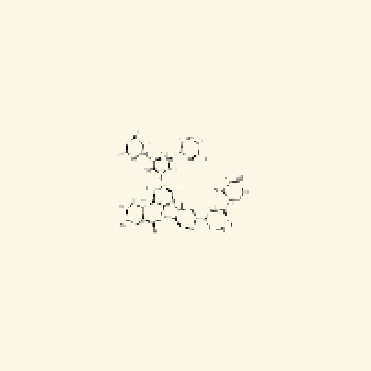 Cc1cc(-c2ccc3c(c2)c2cc(-c4cc(-c5ccccc5)nc(-c5ccccc5)c4)cc4c5ccccc5c(=O)n3c42)cc(-c2ccccc2)n1